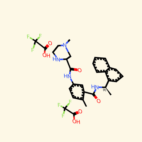 Cc1ccc(NC(=O)C2CN(C)CCN2)cc1C(=O)N[C@H](C)c1cccc2ccccc12.O=C(O)C(F)(F)F.O=C(O)C(F)(F)F